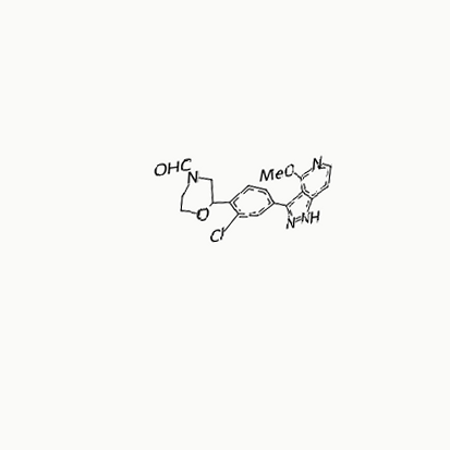 COc1nccc2[nH]nc(-c3ccc(C4CN(C=O)CCO4)c(Cl)c3)c12